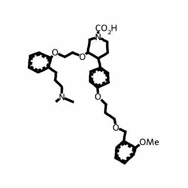 COc1ccccc1COCCCOc1ccc(C2CCN(C(=O)O)CC2OCCOc2ccccc2CCCN(C)C)cc1